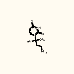 CCCC(CCN)(OC(C)=O)n1ccc(=O)[nH]c1=O